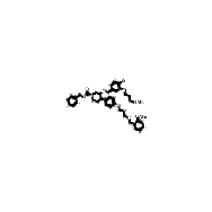 COCCCOc1cc(COC2CN(C(=O)OCc3ccccc3)CCC2c2ccc(OCCCOCc3ccccc3OC)cc2)ccc1Br